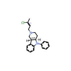 C/C(Cl)=C/CN1CC[C@@H]2[C@@H](C1)c1ccccc1N2c1ccccc1